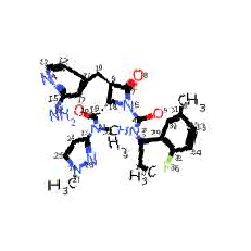 CCC(NC(=O)N1C(=O)[C@H](Cc2ccnc(N)c2)[C@H]1C(=O)N(C)c1ccn(C)n1)c1cc(C)ccc1F